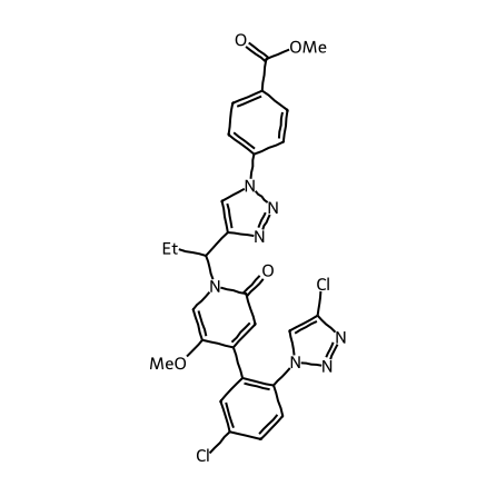 CCC(c1cn(-c2ccc(C(=O)OC)cc2)nn1)n1cc(OC)c(-c2cc(Cl)ccc2-n2cc(Cl)nn2)cc1=O